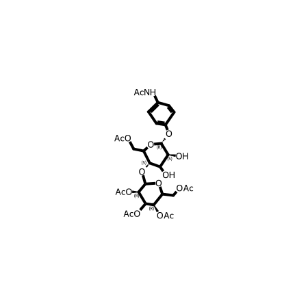 CC(=O)Nc1ccc(O[C@H]2OC(COC(C)=O)[C@@H](OC3OC(COC(C)=O)[C@@H](OC(C)=O)C(OC(C)=O)[C@H]3OC(C)=O)C(O)[C@@H]2O)cc1